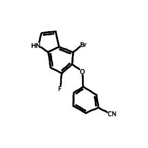 N#Cc1cccc(Oc2c(F)cc3[nH]ccc3c2Br)c1